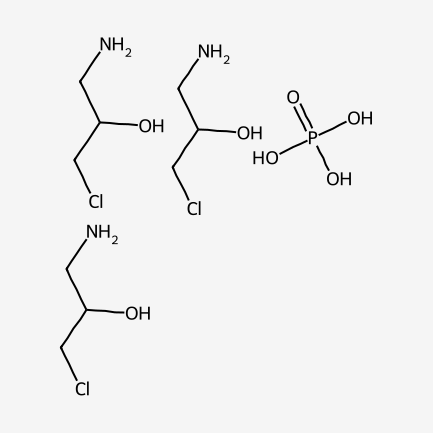 NCC(O)CCl.NCC(O)CCl.NCC(O)CCl.O=P(O)(O)O